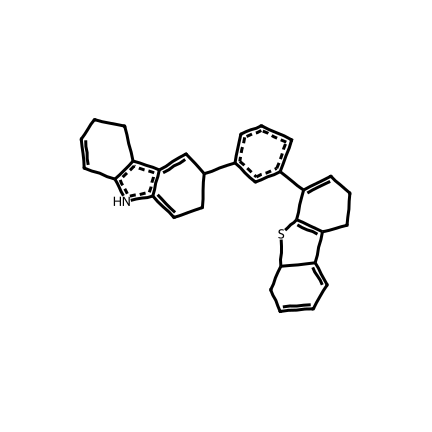 C1=CCC2SC3=C(CCC=C3c3cccc(C4C=c5c6c([nH]c5=CC4)C=CCC6)c3)C2=C1